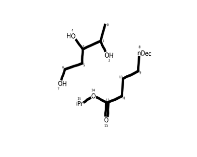 CC(O)C(O)CCO.CCCCCCCCCCCCCC(=O)OC(C)C